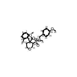 COC(=O)C1(c2ccccc2F)CCOCC1S(=O)(=O)N(C)Cc1ccc(OC)cc1